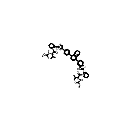 COC(=O)N[C@H](C(=O)N1C2CCC(C2)C1c1ncc(-c2ccc(-c3ccc(-c4ccc5nc([C@@H]6C7CCC(C7)N6C(=O)[C@@H](NC(=O)OC)C(C)C)[nH]c5c4)c4c3C3CCC4O3)cc2)[nH]1)C(C)C